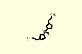 CCCC1=CC([Si](I)(I)C2C=CC(CCC)=C2)C=C1